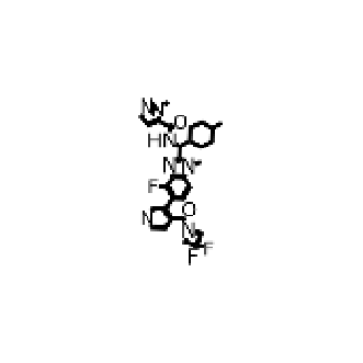 CC1CCC(C(NC(=O)c2ccnn2C)c2nc3c(F)c(-c4cnccc4C(=O)N4CC(F)(F)C4)ccc3n2C)CC1